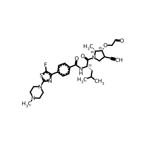 C#CC1CN(C(=O)[C@H](CC(C)C)NC(=O)c2ccc(-c3nc(N4CCN(C)CC4)sc3F)cc2)[C@H](C)[C@@H]1OCC=O